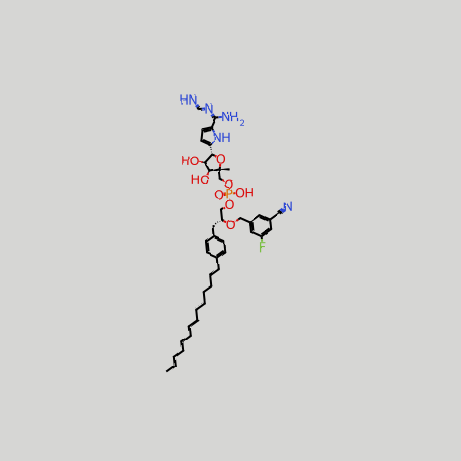 CCCCCCCCCCCCCCc1ccc(C[C@H](COP(=O)(O)OC[C@@]2(C)O[C@@H](c3ccc(/C(N)=N\C=N)[nH]3)[C@H](O)[C@@H]2O)OCc2cc(F)cc(C#N)c2)cc1